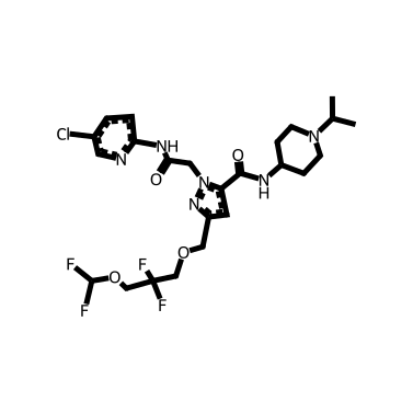 CC(C)N1CCC(NC(=O)c2cc(COCC(F)(F)COC(F)F)nn2CC(=O)Nc2ccc(Cl)cn2)CC1